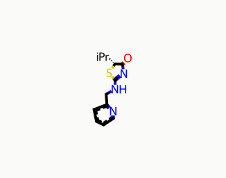 CC(C)[C@H]1SC(NCc2ccccn2)=NC1=O